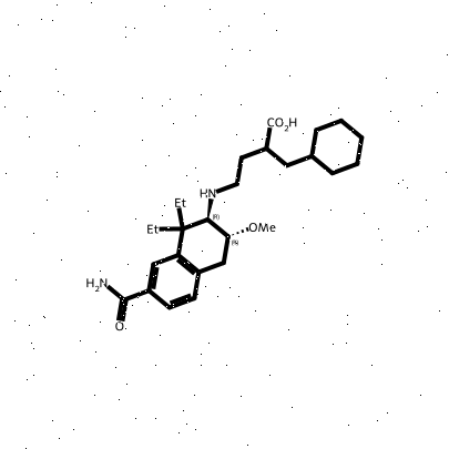 CCC1(CC)c2cc(C(N)=O)ccc2C[C@@H](OC)[C@@H]1NCCC(CC1CCCCC1)C(=O)O